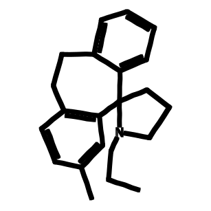 CCCN1CCCC12c1ccccc1CCc1ccc(C)cc12